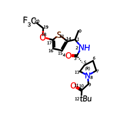 CC(NC(=O)[C@@H]1CCN(CC(=O)C(C)(C)C)C1)c1ccc(OCC(F)(F)F)s1